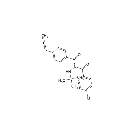 C=C=Cc1ccc(C(=O)N(NC(C)(C)C)C(=O)c2ccc(Cl)cc2)cc1